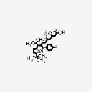 CC(C)c1c(C=CC(O)CC(=O)CC(=O)O)c(-c2ccc(F)cc2)nn2c(C(C)(C)C)ccc12